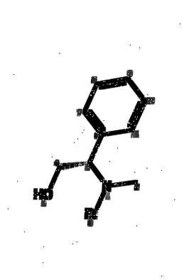 CCN(C)[C@H](CO)c1ccccc1